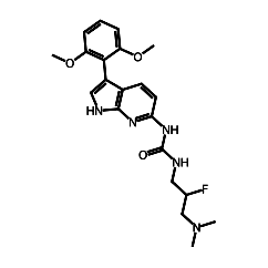 COc1cccc(OC)c1-c1c[nH]c2nc(NC(=O)NCC(F)CN(C)C)ccc12